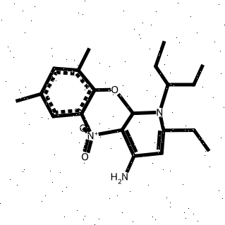 CCC1=CC(N)=C([N+](=O)[O-])C(Oc2c(C)cc(C)cc2C)N1C(CC)CC